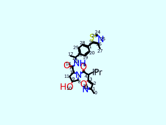 Cc1cc(C(C(=O)N2CC(O)CC2C(=O)NC(C)c2ccc(-c3scnc3C)cc2)C(C)C)on1